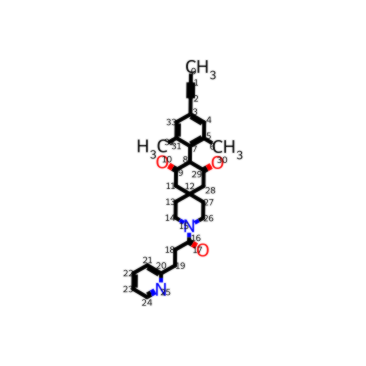 CC#Cc1cc(C)c(C2C(=O)CC3(CCN(C(=O)CCc4ccccn4)CC3)CC2=O)c(C)c1